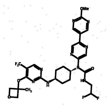 COc1ncc(-c2cnc(N(C(=O)NCC(F)F)[C@H]3CC[C@H](Nc4ncc(C(F)(F)F)c(OC5(C)COC5)n4)CC3)cn2)cn1